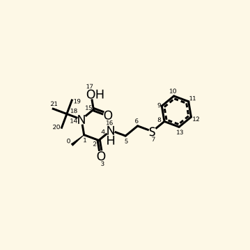 C[C@H](C(=O)NCCSc1ccccc1)N(C(=O)O)C(C)(C)C